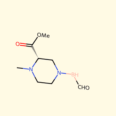 COC(=O)[C@@H]1CN(BC=O)CCN1C